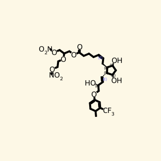 CC1CC=C(OC[C@H](O)/C=C/[C@@H]2[C@@H](C/C=C\CCCC(=O)OCC(CO[N+](=O)[O-])OCCO[N+](=O)[O-])[C@@H](O)C[C@H]2O)C=C1C(F)(F)F